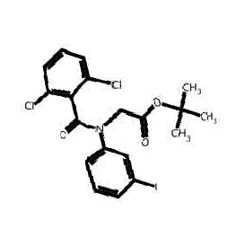 CC(C)(C)OC(=O)CN(C(=O)c1c(Cl)cccc1Cl)c1cccc(I)c1